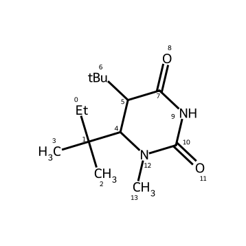 CCC(C)(C)C1C(C(C)(C)C)C(=O)NC(=O)N1C